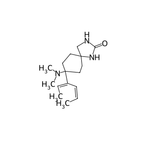 C/C=C\C(=C/C)C1(N(C)C)CCC2(CC1)CNC(=O)N2